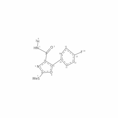 [2H]NC(=O)c1nc(SC)oc1-c1ccc(F)cc1